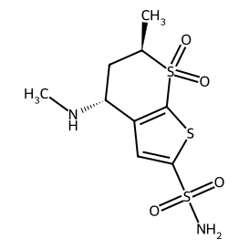 CN[C@@H]1C[C@@H](C)S(=O)(=O)c2sc(S(N)(=O)=O)cc21